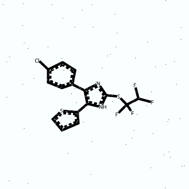 FC(F)C(F)(F)Sc1nc(-c2ccc(Cl)cc2)c(-c2cccs2)[nH]1